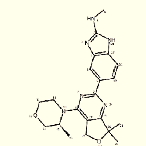 CNc1nc2cc(-c3nc(N4CCOC[C@@H]4C)c4c(n3)C(C)(C)OC4)ccc2[nH]1